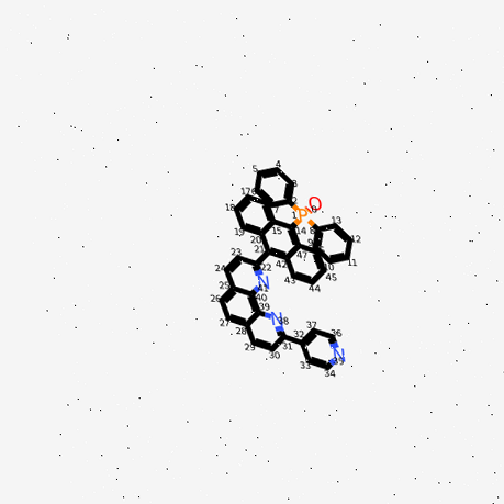 O=P(c1ccccc1)(c1ccccc1)c1c2ccccc2c(-c2ccc3ccc4ccc(-c5ccncc5)nc4c3n2)c2ccccc12